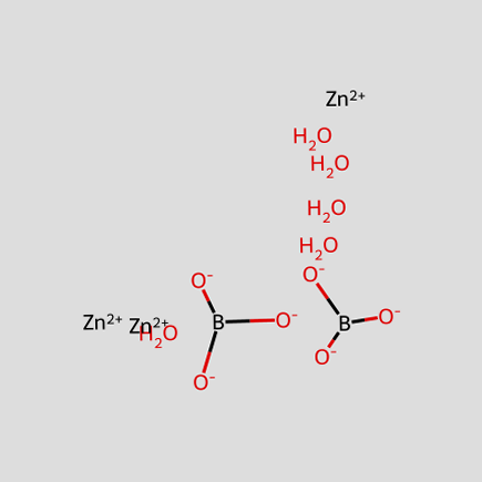 O.O.O.O.O.[O-]B([O-])[O-].[O-]B([O-])[O-].[Zn+2].[Zn+2].[Zn+2]